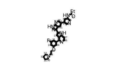 CCC(=O)Nc1cncc(-c2cnc3[nH]nc(-c4cc5c(-c6cc(F)cc(OCCN7CCCC7)c6)nccc5[nH]4)c3c2)c1